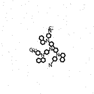 [C-]#[N+]c1ccc(N(c2ccc(-n3c4cc(N(c5ccc(C#N)cc5)c5cccc6ccccc56)ccc4c4ccc(N(c5ccc([N+]#[C-])cc5)c5cccc6ccccc56)cc43)cc2)c2cccc3ccccc23)cc1